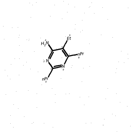 CCCc1nc(N)c(CC)c(CCC)n1